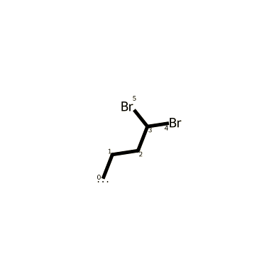 [C]CCC(Br)Br